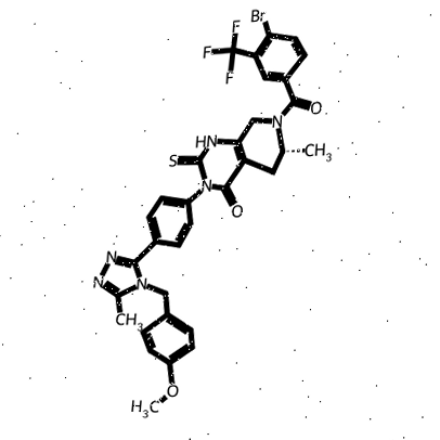 COc1ccc(Cn2c(C)nnc2-c2ccc(-n3c(=S)[nH]c4c(c3=O)C[C@@H](C)N(C(=O)c3ccc(Br)c(C(F)(F)F)c3)C4)cc2)cc1